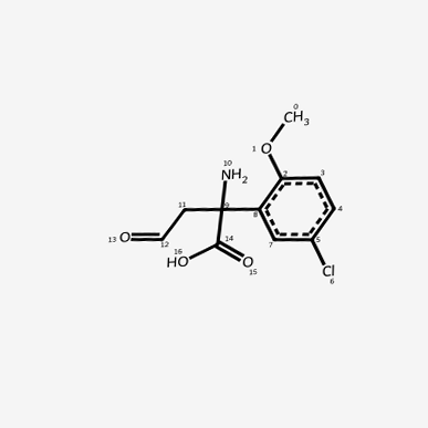 COc1ccc(Cl)cc1C(N)(CC=O)C(=O)O